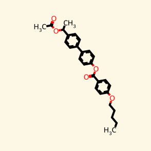 CCCCCOc1ccc(C(=O)Oc2ccc(-c3ccc(C(C)OC(C)=O)cc3)cc2)cc1